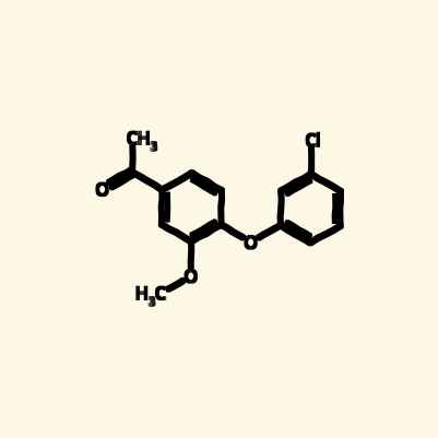 COc1cc(C(C)=O)ccc1Oc1cccc(Cl)c1